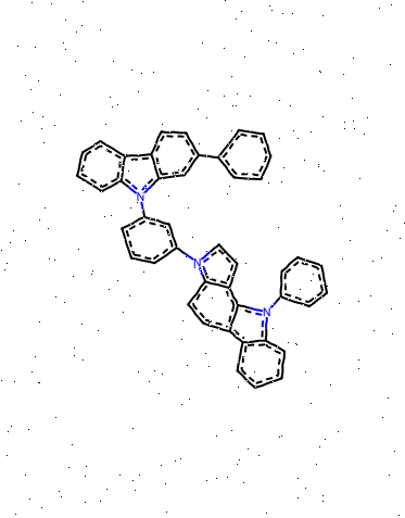 c1ccc(-c2ccc3c4ccccc4n(-c4cccc(-n5ccc6c5ccc5c7ccccc7n(-c7ccccc7)c56)c4)c3c2)cc1